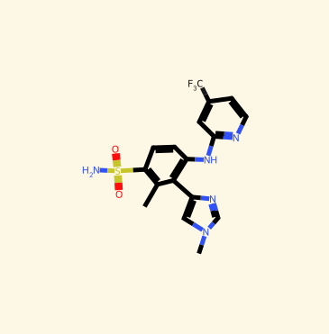 Cc1c(S(N)(=O)=O)ccc(Nc2cc(C(F)(F)F)ccn2)c1-c1cn(C)cn1